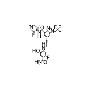 CNC(=O)c1cc(O)c(NCC#Cc2cc(C(=O)N[C@@H]3[C@@H](C)CN(C)C[C@@H]3F)c3ncn(CC(F)(F)F)c3c2)cc1F